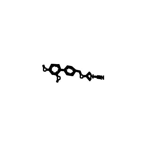 COc1ccc(-c2ccc(COC3CN(C#N)C3)cc2)c(OC)c1